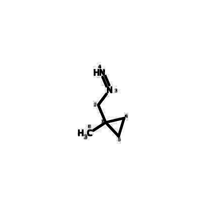 CC1(CN=N)CC1